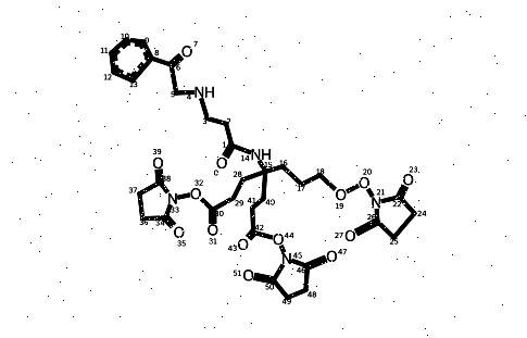 O=C(CCNCC(=O)c1ccccc1)NC(CCCOON1C(=O)CCC1=O)(CCC(=O)ON1C(=O)CCC1=O)CCC(=O)ON1C(=O)CCC1=O